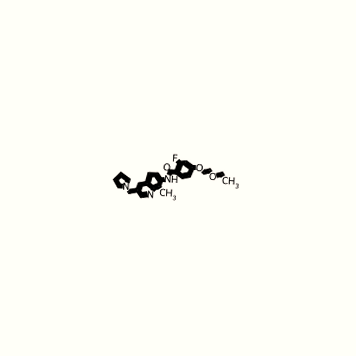 CCOCCOc1ccc(C(=O)Nc2ccc3cc(CN4CCCC4)cnc3c2C)c(F)c1